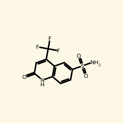 NS(=O)(=O)c1ccc2[nH]c(=O)cc(C(F)(F)F)c2c1